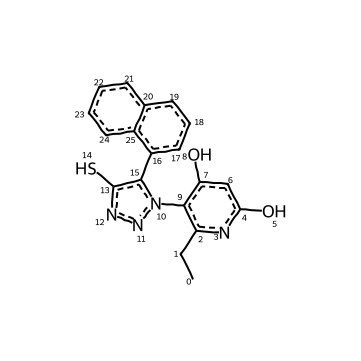 CCc1nc(O)cc(O)c1-n1nnc(S)c1-c1cccc2ccccc12